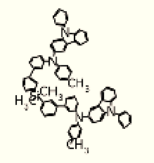 Cc1ccc(N(c2cccc(-c3cccc([Si](C)(C)c4cccc(-c5cccc(N(c6ccc(C)cc6)c6ccc7c(c6)c6ccccc6n7-c6ccccc6)c5)c4)c3)c2)c2ccc3c(c2)c2ccccc2n3-c2ccccc2)cc1